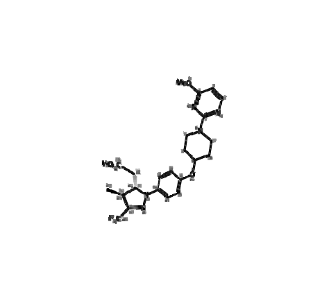 COc1ccnc(N2CCC(Oc3ccc(N4N=C(C(F)(F)F)[C@@H](C)[C@@H]4CC(=O)O)cc3)CC2)n1